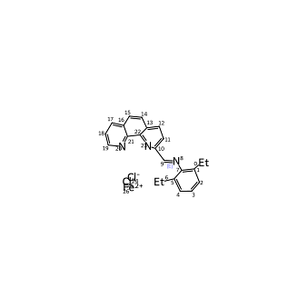 CCc1cccc(CC)c1/N=C/c1ccc2ccc3cccnc3c2n1.[Cl-].[Cl-].[Fe+2]